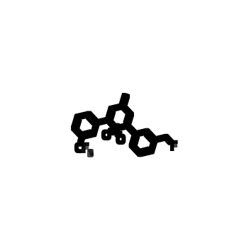 C=C1C=C(c2cccc(CF)c2)S(=O)(=O)C(c2cccc(C(F)(F)F)c2)=C1